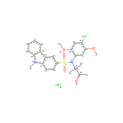 COc1cc([N](S(=O)(=O)c2ccc3c(c2)c2ccccc2n3C)[Sn]([CH3])([CH3])[C](C)=O)c(OC)cc1Cl.Cl